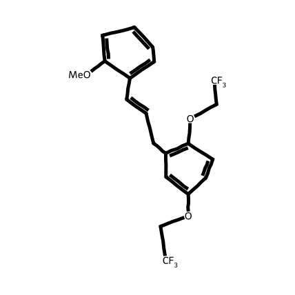 COc1ccccc1C=CCc1cc(OCC(F)(F)F)ccc1OCC(F)(F)F